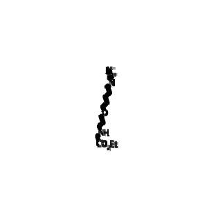 CCOC(=O)CNCCCOCCCCCN=[N+]=[N-]